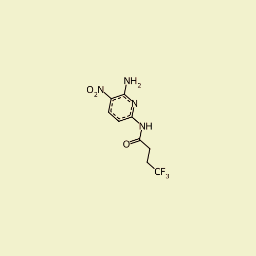 Nc1nc(NC(=O)CCC(F)(F)F)ccc1[N+](=O)[O-]